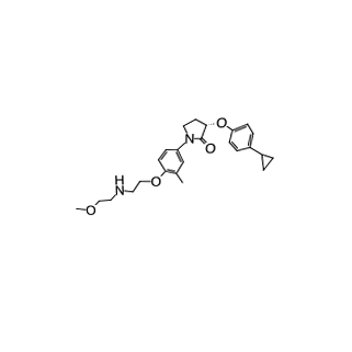 COCCNCCOc1ccc(N2CC[C@H](Oc3ccc(C4CC4)cc3)C2=O)cc1C